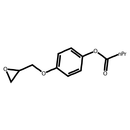 CCCC(=O)Oc1ccc(OCC2CO2)cc1